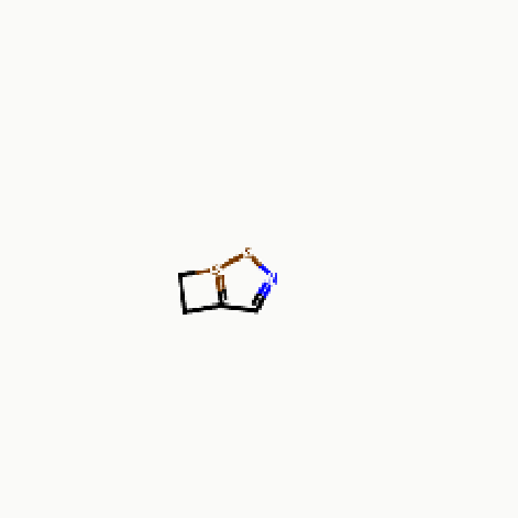 C1=NSS2=C1CC2